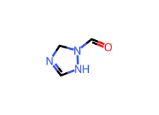 O=CN1CN=CN1